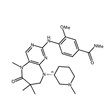 CNC(=O)c1ccc(Nc2ncc3c(n2)N([C@@H]2CCCN(C)C2)CC(C)(C)C(=O)N3C)c(OC)c1